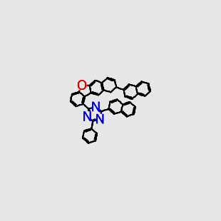 C1=CC(c2ccc3ccccc3c2)Cc2cc3c(cc21)oc1cccc(-c2nc(-c4ccccc4)nc(-c4ccc5ccccc5c4)n2)c13